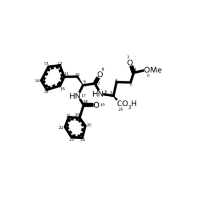 COC(=O)CC[C@H](NC(=O)[C@H](Cc1ccccc1)NC(=O)c1ccccc1)C(=O)O